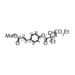 CCOC(=O)CC(C)(CC)C(=O)Oc1ccc(/C=C/C(=O)OC)cc1